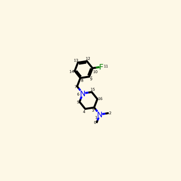 CN(C)C1CCN(Cc2[c]c(F)ccc2)CC1